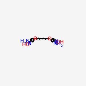 N/C(=N\O)c1ccc(OCCCCCCCCCOc2ccc(/C(N)=N/O)cc2)cc1